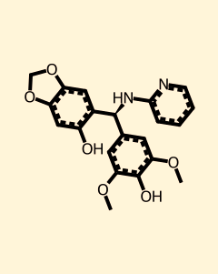 COc1cc([C@H](Nc2ccccn2)c2cc3c(cc2O)OCO3)cc(OC)c1O